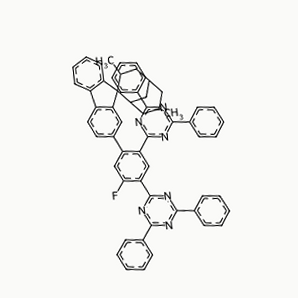 CC1CC2CC(C)C3(c4ccccc4-c4ccc(-c5cc(F)c(-c6nc(-c7ccccc7)nc(-c7ccccc7)n6)cc5-c5nc(-c6ccccc6)nc(-c6ccccc6)n5)cc43)C(C1)C2